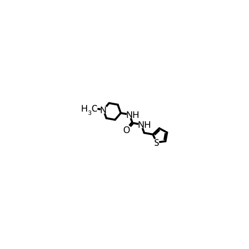 CN1CCC(NC(=O)NCc2cccs2)CC1